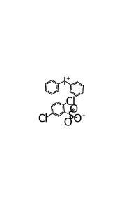 O=S(=O)([O-])c1cc(Cl)ccc1Cl.c1ccc([I+]c2ccccc2)cc1